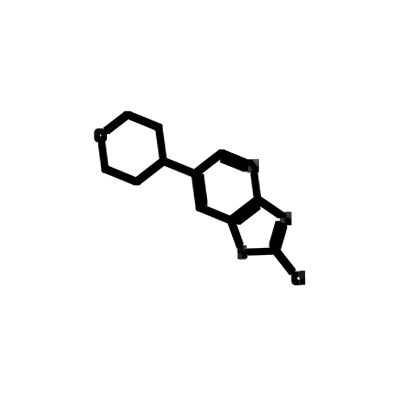 Clc1nc2ncc(C3CCOCC3)cc2s1